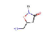 CCN1OC(CN)CC1=O